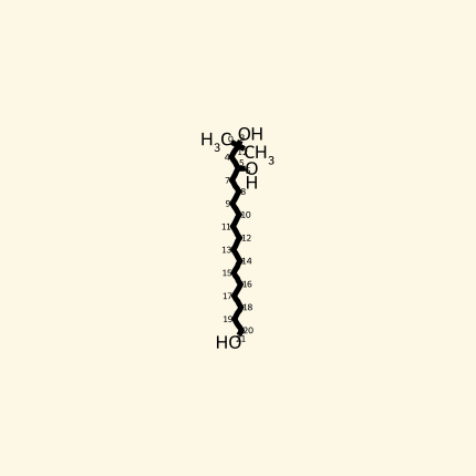 CC(C)(O)CC(O)CCCCCCCCCCCCCCO